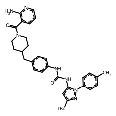 Cc1ccc(-n2nc(C(C)(C)C)cc2NC(=O)Nc2ccc(CC3CCN(C(=O)c4cccnc4N)CC3)cc2)cc1